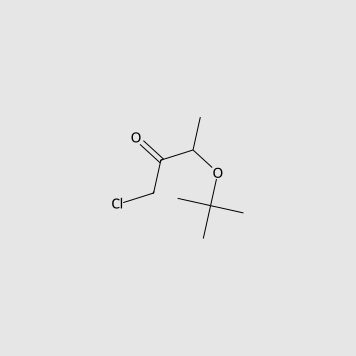 CC(OC(C)(C)C)C(=O)CCl